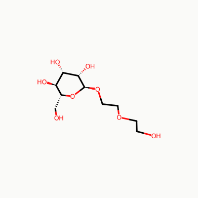 OCCOCCO[C@H]1O[C@H](CO)[C@@H](O)[C@H](O)[C@@H]1O